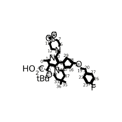 Cc1nc(CN2CCS(=O)(=O)CC2)c(-c2ccc(OCCc3ccc(F)cc3)cc2)c(N2CCC(C)(C)CC2)c1[C@H](OC(C)(C)C)C(=O)O